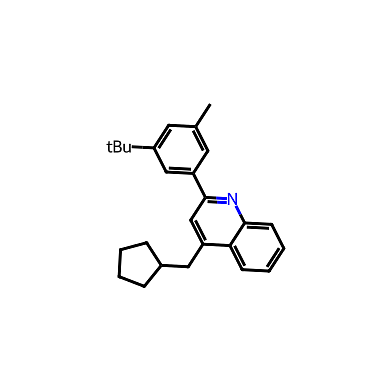 Cc1cc(-c2cc(CC3CCCC3)c3ccccc3n2)cc(C(C)(C)C)c1